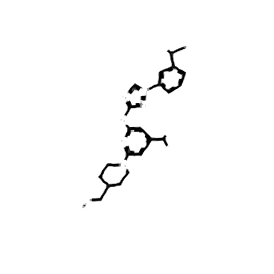 COCC1CCN(c2cc(C(F)F)cc(Nc3ncn(-c4cccc(C(F)F)c4)n3)n2)CC1